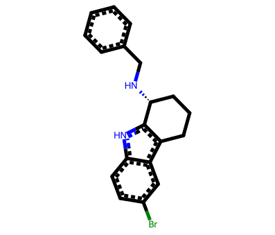 Brc1ccc2[nH]c3c(c2c1)CCC[C@H]3NCc1ccccc1